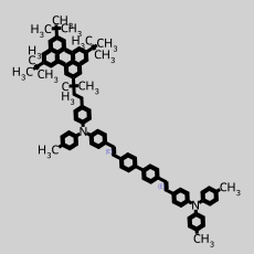 Cc1ccc(N(c2ccc(C)cc2)c2ccc(/C=C/c3ccc(-c4ccc(/C=C/c5ccc(N(c6ccc(C)cc6)c6ccc(CCC(C)(C)c7cc8cc(C(C)(C)C)cc9c%10cc(C(C)(C)C)cc%11cc(C(C)(C)C)cc(c(c7)c89)c%11%10)cc6)cc5)cc4)cc3)cc2)cc1